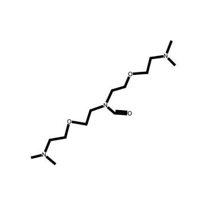 CN(C)CCOCCN(C=O)CCOCCN(C)C